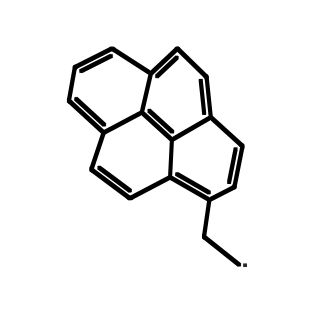 [CH2]Cc1ccc2ccc3cccc4ccc1c2c34